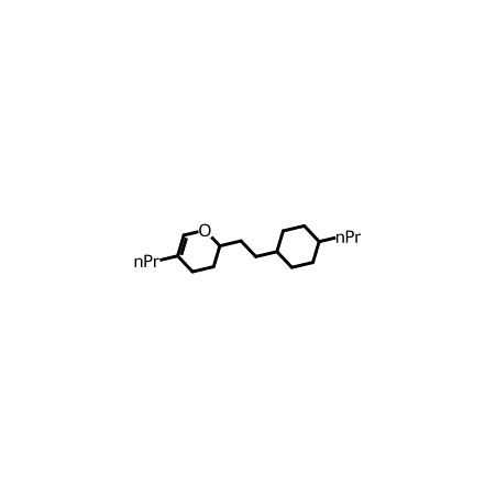 CCCC1=COC(CCC2CCC(CCC)CC2)CC1